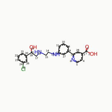 O=C(O)c1ccnc(-c2cccc(NCCNC[C@H](O)c3cccc(Cl)c3)c2)c1